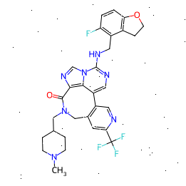 CN1CCC(CN2Cc3cc(C(F)(F)F)ncc3-c3cnc(NCc4c(F)ccc5c4CCO5)n4cnc(c34)C2=O)CC1